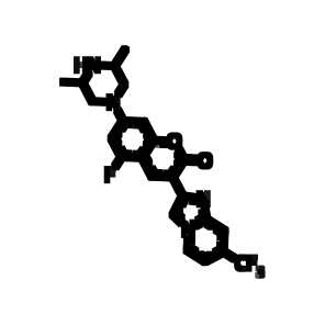 CC1CN(c2cc(F)c3cc(-c4cn5ccc(C(F)(F)F)cc5n4)c(=O)oc3c2)CC(C)N1